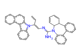 C=C/C(=C\N=C(/N)N1c2ccccc2-c2ccccc2C2C=CC=CC21)n1c2ccccc2c2c3ccccc3ccc21